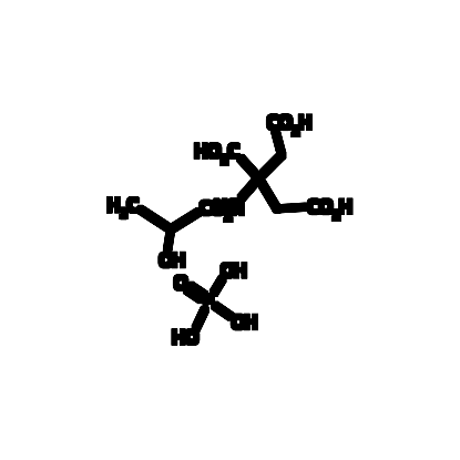 CC(O)C(=O)O.O=C(O)CC(O)(CC(=O)O)C(=O)O.O=P(O)(O)O